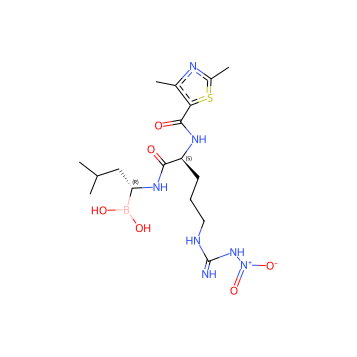 Cc1nc(C)c(C(=O)N[C@@H](CCCNC(=N)N[N+](=O)[O-])C(=O)N[C@@H](CC(C)C)B(O)O)s1